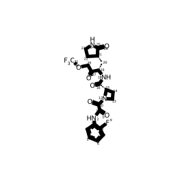 O=C(Nc1ccccc1F)C(=O)N1CC[C@H]1C(=O)N[C@@H](C[C@@H]1CCNC1=O)C(=O)COC(F)(F)F